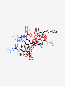 CCO[Si](CCCNC(N)=O)(OCC)O[Si](CCCNC(N)=O)(OCC)O[Si](C)(CCCNC(N)=O)O[Si](CNC(N)=O)(OCC)O[Si](CCCNC(C)=O)(OCC)OCC